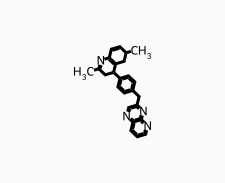 CC1=NC2=C(CC(C)C=C2)C(c2ccc(Cc3cnc4cccnc4n3)cc2)C1